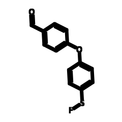 O=Cc1ccc(Oc2ccc(SF)cc2)cc1